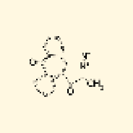 CC(=[N+]=[N-])C(=O)c1cc2ccccc2c(=O)c2ccccc12